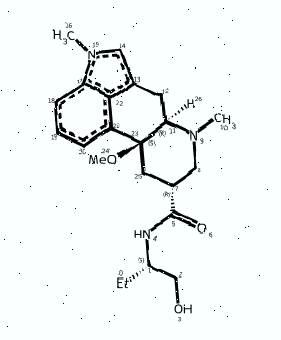 CC[C@@H](CO)NC(=O)[C@H]1CN(C)[C@@H]2Cc3cn(C)c4cccc(c34)[C@@]2(OC)C1